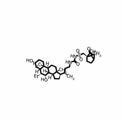 CC[C@H]1[C@@H](O)[C@@H]2[C@H](CC[C@]3(C)[C@@H]([C@H](C)CCNC(=O)NS(=O)(=O)C[C@@]45CCC(CC4=O)C5(C)C)CC[C@@H]23)[C@@]2(C)CC[C@@H](O)C[C@@H]12